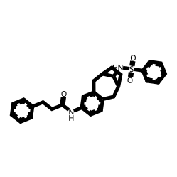 O=C(CCc1ccccc1)Nc1ccc2c(c1)CC1CCC(C2)C1NS(=O)(=O)c1ccccc1